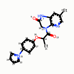 CCc1cnc2c(c1)NC(=O)CN2C(=O)C(CC)Oc1ccc(-n2cccc2)cc1